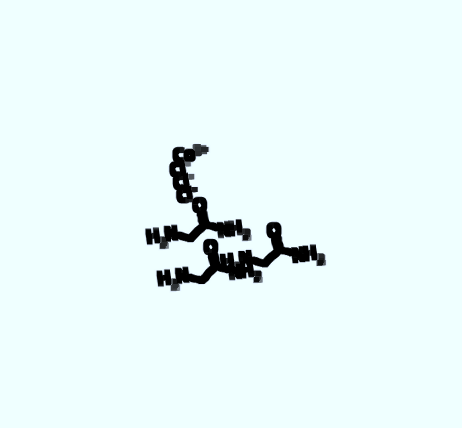 NCC(N)=O.NCC(N)=O.NCC(N)=O.[Cl-].[Cl-].[Cl-].[Co+3]